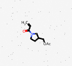 C=CC(=O)N1CCC(COC(C)=O)C1